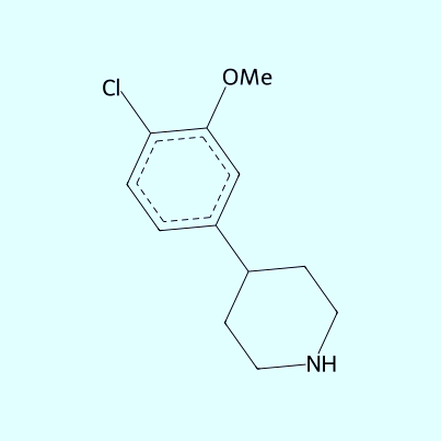 COc1cc(C2CCNCC2)ccc1Cl